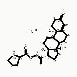 CC(=NOC(=O)C1CCCN1)[C@H]1CC[C@H]2C3CCC4=CC(=O)CC[C@]4(C)C3CC[C@]12C.Cl